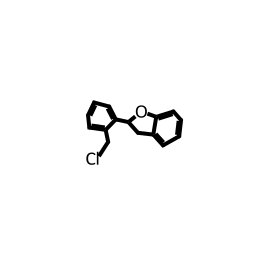 ClCc1ccccc1C1Cc2ccccc2O1